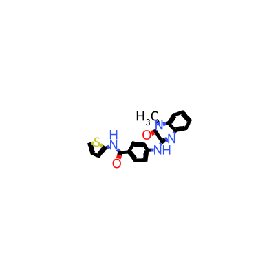 Cn1c(=O)c(Nc2ccc(C(=O)Nc3cccs3)cc2)nc2ccccc21